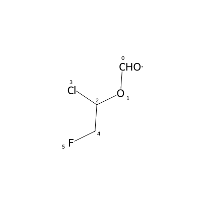 O=[C]OC(Cl)CF